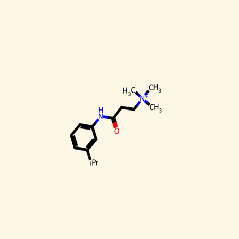 CC(C)c1cccc(NC(=O)CC[N+](C)(C)C)c1